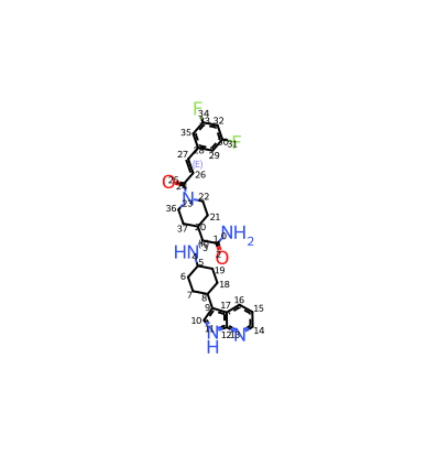 NC(=O)[C@H](NC1CCC(c2c[nH]c3ncccc23)CC1)C1CCN(C(=O)/C=C/c2cc(F)cc(F)c2)CC1